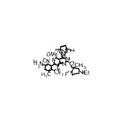 CCN1CC[C@H](CF)[C@](C)(COc2nc(N3C[C@H]4CC[C@@H](C3)N4)c3c(OC)nc(-c4c(C#N)c(N)cc(C)c4C(F)(F)F)c(F)c3n2)C1